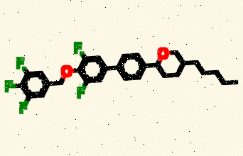 CCCCCC1CCC(c2ccc(-c3cc(F)c(OCc4cc(F)c(F)c(F)c4)c(F)c3)cc2)OC1